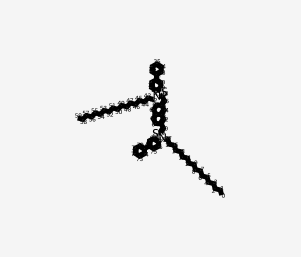 CCCCCCCCCCCCCCCCCCN1/C(=C/C2=CC3=C/C(=C/c4sc5cc(-c6ccccc6)ccc5[n+]4CCCCCCCCCCCCCCCCCC)CCC3CC2)Sc2cc(-c3ccccc3)ccc21